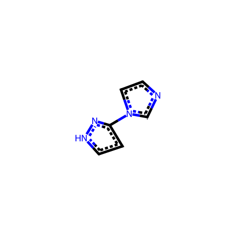 [c]1nccn1-c1cc[nH]n1